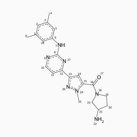 Cc1cc(C)cc(Nc2nccc(-c3cc(C(=O)N4CCC(N)C4)n(C)n3)n2)c1